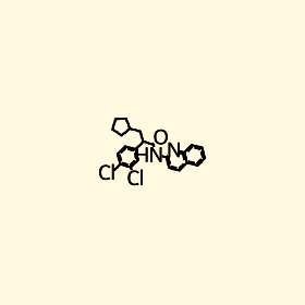 O=C(Nc1ccc2ccccc2n1)C(CC1CCCC1)c1ccc(Cl)c(Cl)c1